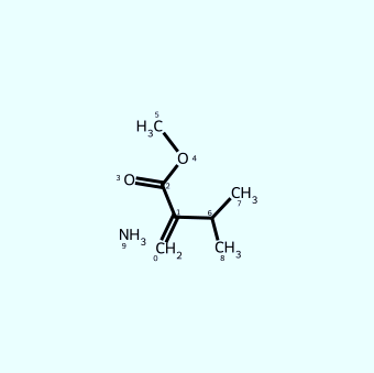 C=C(C(=O)OC)C(C)C.N